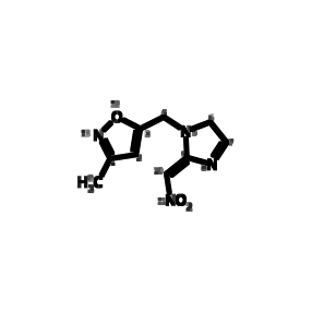 Cc1cc(CN2CC=NC2=C[N+](=O)[O-])on1